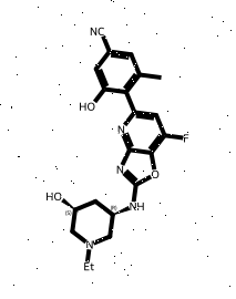 CCN1C[C@@H](O)C[C@@H](Nc2nc3nc(-c4c(C)cc(C#N)cc4O)cc(F)c3o2)C1